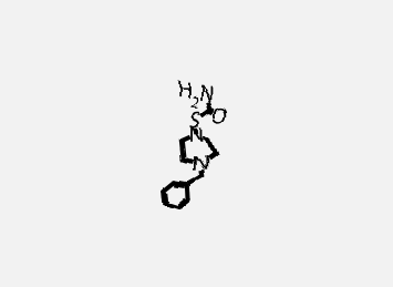 NC(=O)SN1CCN(Cc2ccccc2)CC1